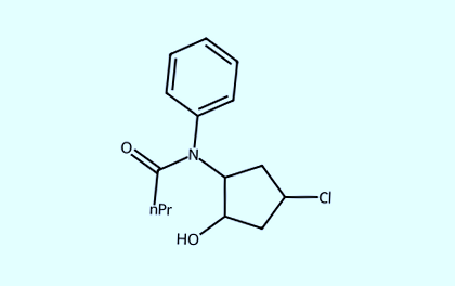 CCCC(=O)N(c1ccccc1)C1CC(Cl)CC1O